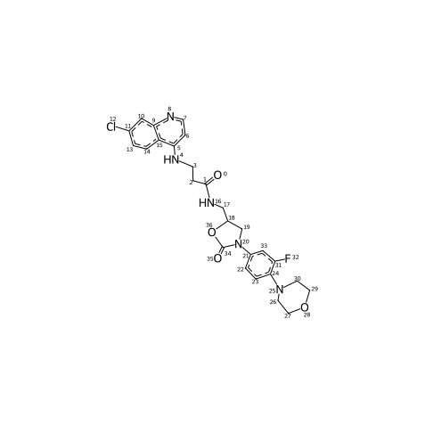 O=C(CCNc1ccnc2cc(Cl)ccc12)NCC1CN(c2ccc(N3CCOCC3)c(F)c2)C(=O)O1